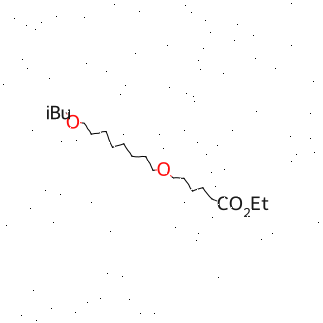 CCOC(=O)CCCCCOCCCCCCCCOC(C)CC